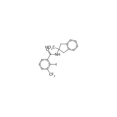 O=C(NC1(C(=O)O)Cc2ccccc2C1)c1cccc(C(F)(F)F)c1I